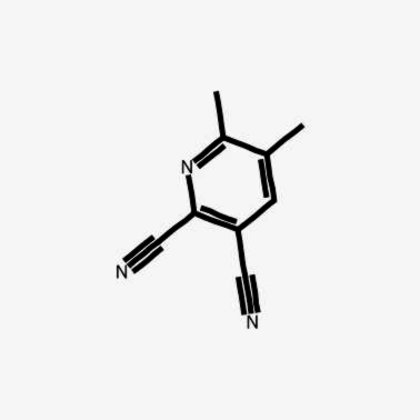 Cc1cc(C#N)c(C#N)nc1C